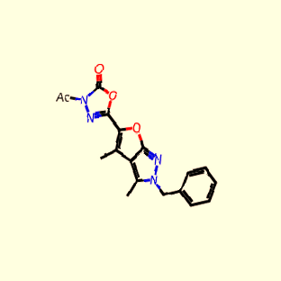 CC(=O)n1nc(-c2oc3nn(Cc4ccccc4)c(C)c3c2C)oc1=O